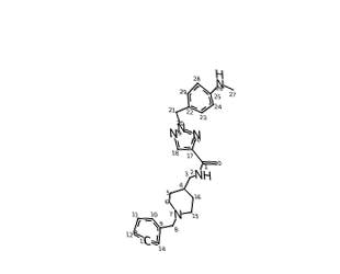 C=C(NCC1CCN(Cc2ccccc2)CC1)c1cnn(Cc2ccc(NC)cc2)n1